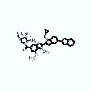 CC[C@@H]1CN(C(=O)c2cc(OC)c3c(c2)nc(-c2cc4cc(C5=Cc6ccccc6C5)ccc4n2CC2CC2)n3C)[C@H](C)[C@H]1N